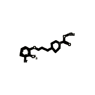 CC(C)(C)OC(=O)N1CCC(CCCOc2cccc(Br)c2C(F)(F)F)CC1